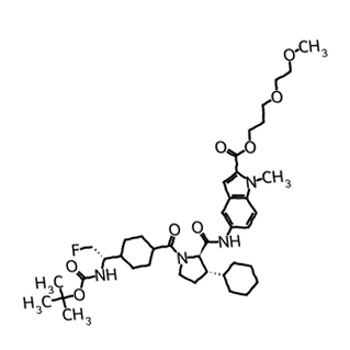 COCCOCCCOC(=O)c1cc2cc(NC(=O)[C@H]3[C@H](C4CCCCC4)CCN3C(=O)C3CCC([C@@H](CF)NC(=O)OC(C)(C)C)CC3)ccc2n1C